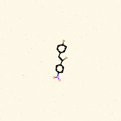 O=[N+]([O-])c1ccc(/C(Br)=C/c2ccc(Br)cc2)cc1